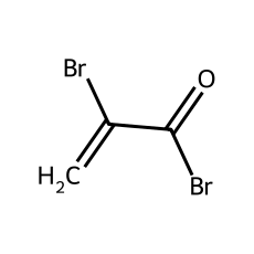 C=C(Br)C(=O)Br